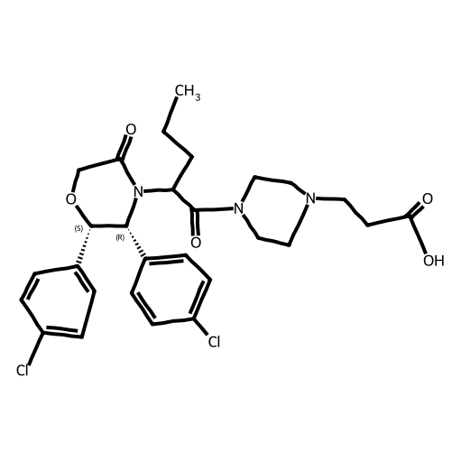 CCCC(C(=O)N1CCN(CCC(=O)O)CC1)N1C(=O)CO[C@@H](c2ccc(Cl)cc2)[C@H]1c1ccc(Cl)cc1